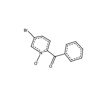 O=C(c1ccccc1)c1ccc(Br)c[n+]1[O-]